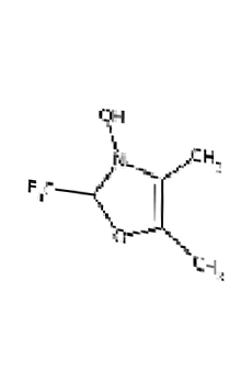 CC1=C(C)N(O)C(C(F)(F)F)O1